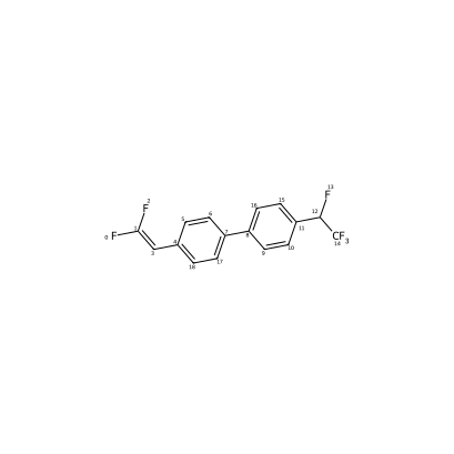 FC(F)=Cc1ccc(-c2ccc(C(F)C(F)(F)F)cc2)cc1